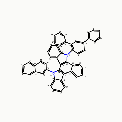 c1ccc(-c2ccc(-n3c4ccccc4c4c3c3ccccc3c3c5ccccc5n(-c5ccc6ccccc6c5)c34)c(-c3ccccc3)c2)cc1